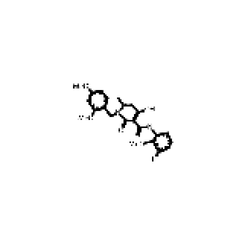 C=C(Nc1cccc(F)c1OC)C1=C(O)CC(C)N(Cc2ccc(OC)cc2OC)C1=O